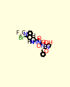 CN1CC(C(=O)N[C@]2(C)O[C@@]3(O)[C@@H]4CCCN4C(=O)[C@H](Cc4ccccc4)N3C2=O)C[C@@H]2c3cccc4c3c(c(Br)n4C(F)(F)F)C[C@H]21